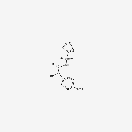 CCC(C)[C@H](NS(=O)(=O)c1cccs1)C(O)c1ccc(SC)cc1